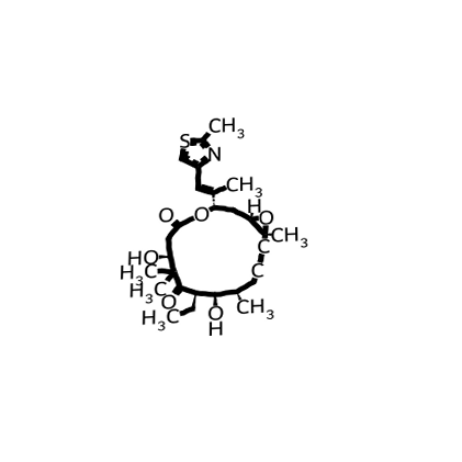 CC[C@H]1C(=O)C(C)(C)[C@@H](O)CC(=O)O[C@H](/C(C)=C/c2csc(C)n2)C[C@H]2O[C@@]2(C)CCC[C@H](C)[C@H]1O